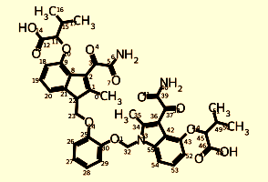 CC1=C(C(=O)C(N)=O)c2c(OC(C(=O)O)C(C)C)cccc2C1COc1ccccc1OCn1c(C)c(C(=O)C(N)=O)c2c(OC(C(=O)O)C(C)C)cccc21